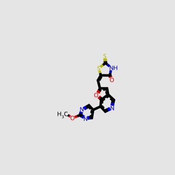 COc1ncc(-c2cncc3cc(C=C4SC(=S)NC4=O)oc23)cn1